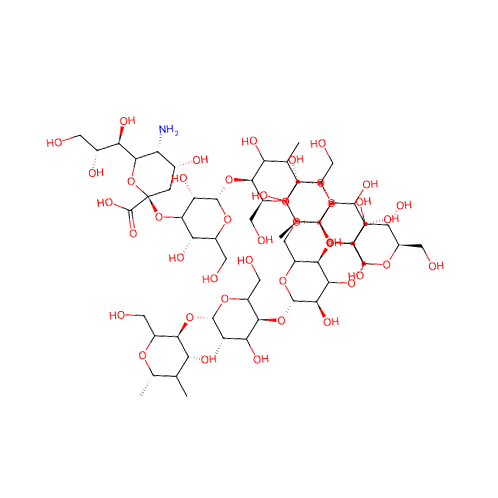 CC1C(O)[C@H](O[C@@H]2OC(CO)[C@H](O)C(O[C@]3(C(=O)O)C[C@@H](O)[C@@H](N)C([C@H](O)[C@H](O)CO)O3)[C@@H]2O)[C@H](CO)O[C@H]1O[C@@H]1C(O)[C@H](O)C(CO)O[C@@H]1OCC1O[C@@H](O[C@@H]2C(CO)O[C@@H](O[C@@H]3C(CO)O[C@@H](C)C(C)[C@H]3O)[C@@H](C)C2O)[C@H](O)C(O[C@H]2O[C@H](CO)[C@@H](O)C(O)C2O[C@@H]2OC(CO)[C@@H](O)C(O)[C@@H]2C)[C@@H]1O